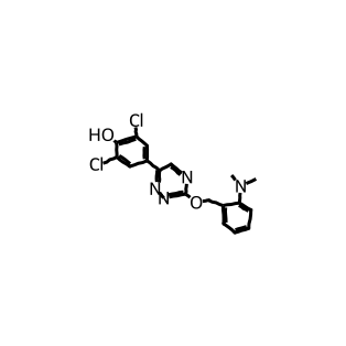 CN(C)c1ccccc1COc1ncc(-c2cc(Cl)c(O)c(Cl)c2)nn1